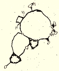 O=C1NS(=O)(=O)CC/C=C\[C@H](O)C[C@@H]2CC[C@H]2CN2CCCCc3cc(Cl)ccc3COc3ccc1cc32